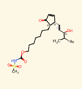 CCCCC(C)[C@H](O)/C=C/[C@H]1C=CC(=O)[C@@H]1CCCCCCCOC(=O)NS(C)(=O)=O